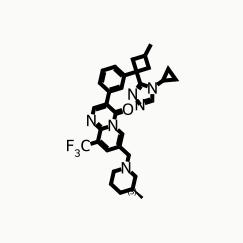 CC1CC(c2cccc(-c3cnc4c(C(F)(F)F)cc(CN5CCC[C@H](C)C5)cn4c3=O)c2)(c2nncn2C2CC2)C1